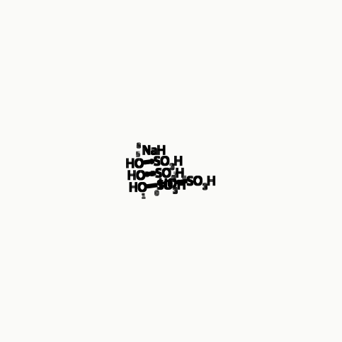 O=S(=O)(O)O.O=S(=O)(O)O.O=S(=O)(O)O.O=S(=O)(O)O.[NaH]